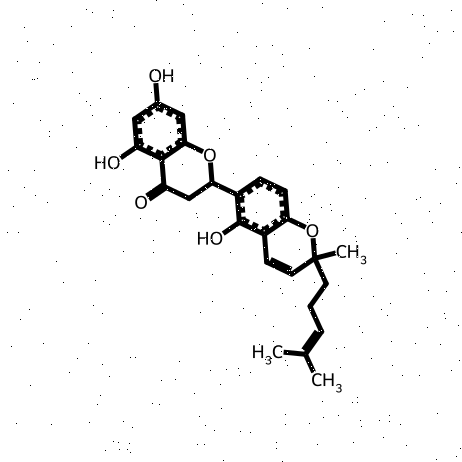 CC(C)=CCCC1(C)C=Cc2c(ccc(C3CC(=O)c4c(O)cc(O)cc4O3)c2O)O1